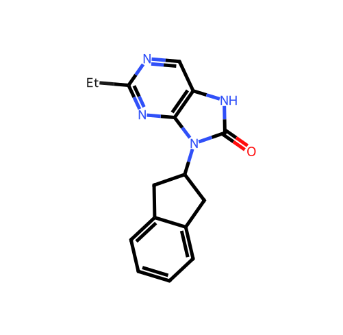 CCc1ncc2[nH]c(=O)n(C3Cc4ccccc4C3)c2n1